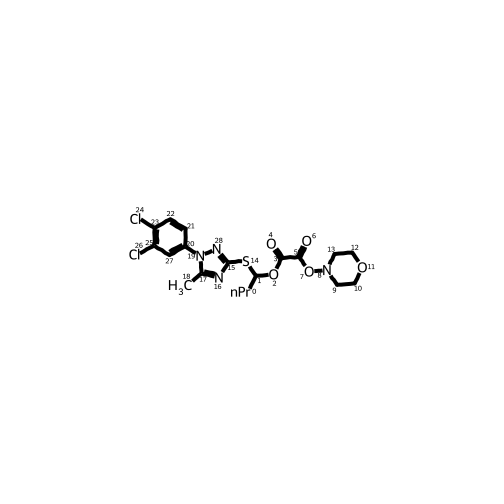 CCCC(OC(=O)C(=O)ON1CCOCC1)Sc1nc(C)n(-c2ccc(Cl)c(Cl)c2)n1